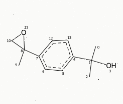 CC(C)(O)c1ccc(C2(C)CO2)cc1